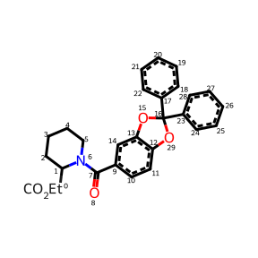 CCOC(=O)C1CCCCN1C(=O)c1ccc2c(c1)OC(c1ccccc1)(c1ccccc1)O2